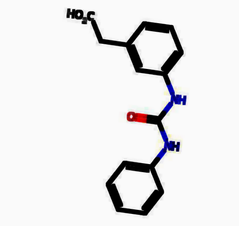 O=C(O)Cc1cccc(NC(=O)Nc2ccccc2)c1